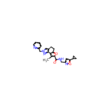 Cc1c(C(=O)NCc2cc(C3CC3)on2)oc2c1-c1nn(Cc3ccccn3)cc1CC2